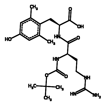 Cc1cc(O)cc(C)c1C[C@H](NC(=O)[C@@H](CCNC(=N)N)NC(=O)OC(C)(C)C)C(=O)O